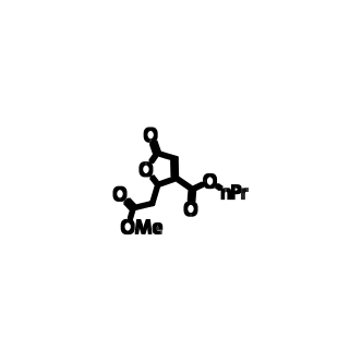 CCCOC(=O)C1=CC(=O)OC1CC(=O)OC